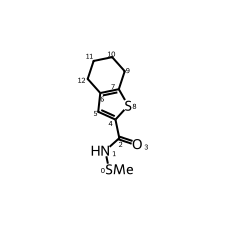 CSNC(=O)c1cc2c(s1)CCCC2